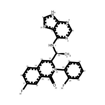 C[C@H](Nc1ncnc2[nH]cnc12)c1cc2ccc(F)cc2c(=O)n1-c1ccccc1F